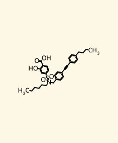 CCCCCCN(Cc1ccc(C#Cc2ccc(CCCC)cc2)cc1)S(=O)(=O)c1ccc(C(=O)O)c(O)c1